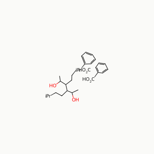 CC(C)CCC(C(C)O)C(CCC(C)C)C(C)O.O=C(O)c1ccccc1.O=C(O)c1ccccc1